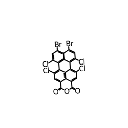 O=C1OC(=O)c2cc(Cl)c3c4c(Cl)cc(Br)c5c(Br)cc(Cl)c(c6c(Cl)cc1c2c63)c54